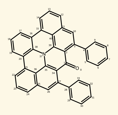 O=c1c2c(-c3ccccc3)cc3cccc4c5cccc6c7cccc8cc(-c9ccccc9)c1c(c87)n(c56)c2c34